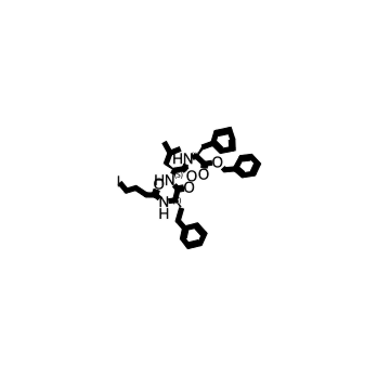 CC(C)C[C@H](NC(=O)[C@H](CCc1ccccc1)NC(=O)CCCI)C(=O)N[C@@H](Cc1ccccc1)C(=O)OCc1ccccc1